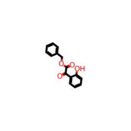 O=C(OCc1ccccc1)C(=O)c1ccccc1O